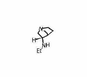 CCN[C@@H]1CN2CCC1CC2